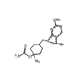 CSc1ncc2c(Br)nn(CC3CCC(OC(N)=O)(C(C)(C)C)CC3)c2n1